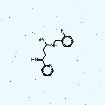 CC(C)C(CCC(=N)c1ccccn1)NCc1ccccc1F